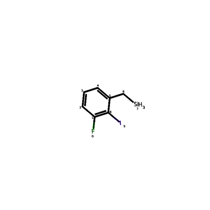 Fc1cccc(C[SiH3])c1I